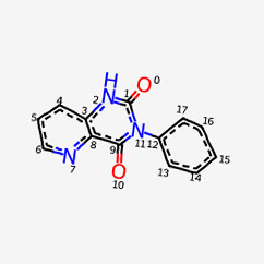 O=c1[nH]c2cccnc2c(=O)n1-c1ccccc1